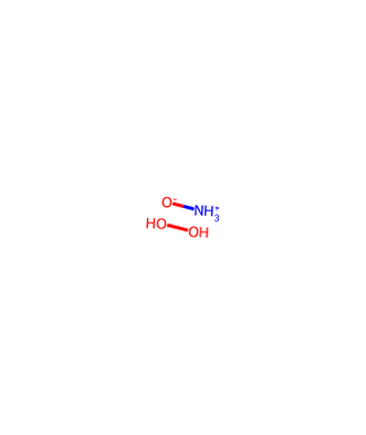 OO.[NH3+][O-]